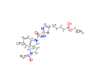 CCOC(=O)CCCSc1cnc(NC(=O)N2CC3(CCN(C(C)=O)C3)c3cc(Cl)ccc32)s1